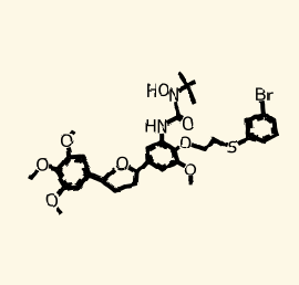 COc1cc(C2CCC(c3cc(OC)c(OC)c(OC)c3)O2)cc(NC(=O)N(O)C(C)(C)C)c1OCCSc1cccc(Br)c1